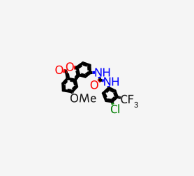 COc1ccc2c(=O)oc3ccc(NC(=O)Nc4ccc(Cl)c(C(F)(F)F)c4)cc3c2c1